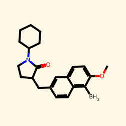 Bc1c(OC)ccc2cc(CC3CCN(C4CCCCC4)C3=O)ccc12